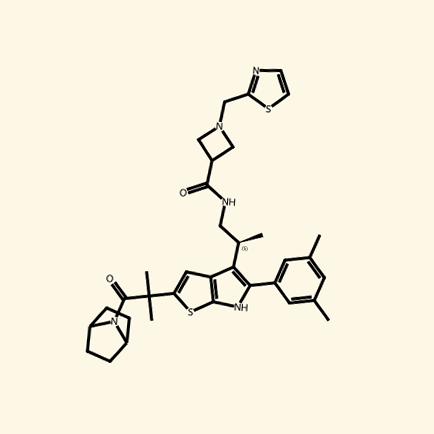 Cc1cc(C)cc(-c2[nH]c3sc(C(C)(C)C(=O)N4C5CCC4CC5)cc3c2[C@H](C)CNC(=O)C2CN(Cc3nccs3)C2)c1